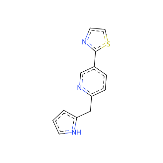 c1c[nH]c(Cc2ccc(-c3nccs3)cn2)c1